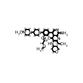 C=C1C(NC2CCOCC2)=C(CC)N=C2C(N)=NC=C(c3ccc(N4CCC(N5CCN(C)CC5)CC4)c(OCCOC)c3)C12